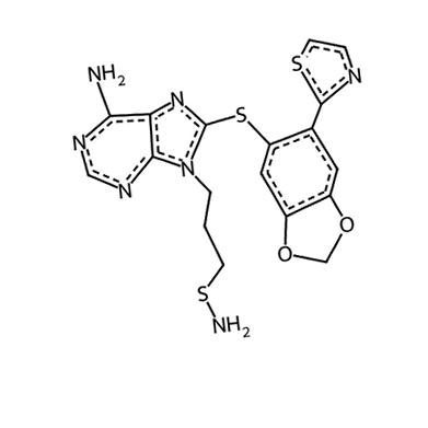 NSCCCn1c(Sc2cc3c(cc2-c2nccs2)OCO3)nc2c(N)ncnc21